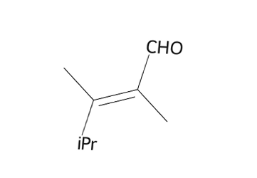 C/C(C=O)=C(/C)C(C)C